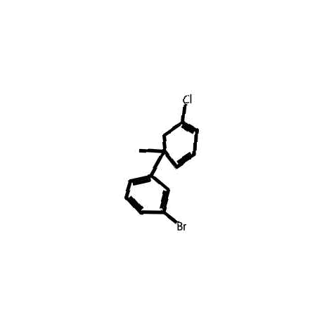 CC1(c2cccc(Br)c2)C=CC=C(Cl)C1